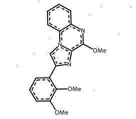 COc1cccc(-c2cn3c(n2)c(OC)nc2ccccc23)c1OC